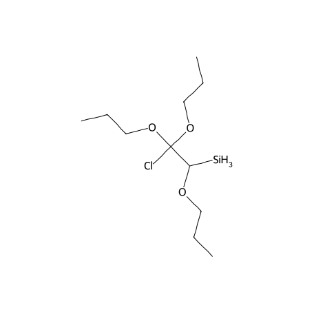 CCCOC([SiH3])C(Cl)(OCCC)OCCC